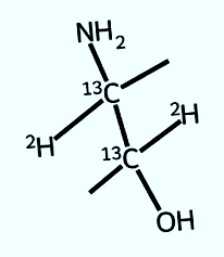 [2H][13C](C)(N)[13C]([2H])(C)O